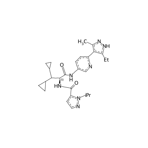 CCc1[nH]nc(C)c1-c1ccc(NC(=O)[C@@H](NC(=O)c2ccnn2C(C)C)C(C2CC2)C2CC2)cn1